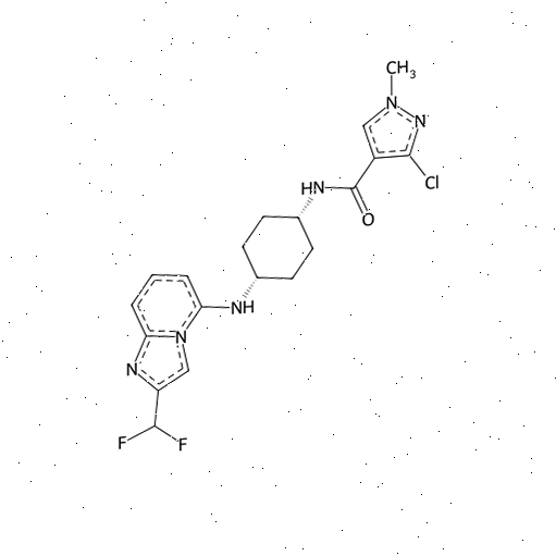 Cn1cc(C(=O)N[C@H]2CC[C@@H](Nc3cccc4nc(C(F)F)cn34)CC2)c(Cl)n1